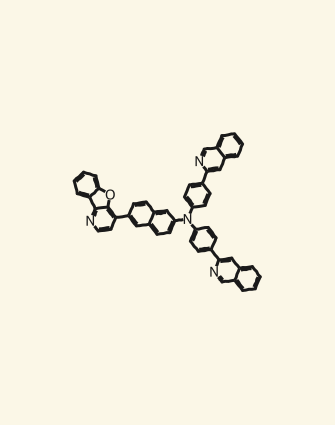 c1ccc2cc(-c3ccc(N(c4ccc(-c5cc6ccccc6cn5)cc4)c4ccc5cc(-c6ccnc7c6oc6ccccc67)ccc5c4)cc3)ncc2c1